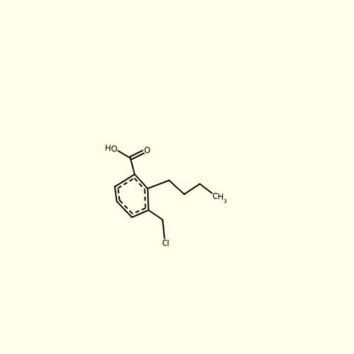 CCCCc1c(CCl)cccc1C(=O)O